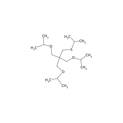 CC(C)OCC(COC(C)C)(COC(C)C)CSC(C)C